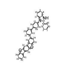 C1=CCCC(C2Nc3ccccc3N2c2ccc(-c3cccc(-c4ccc5oc6cc7c(cc6c5c4)oc4ccccc47)c3)cc2)=C1